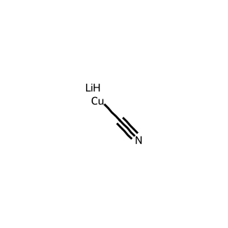 N#[C][Cu].[LiH]